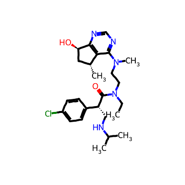 CCN(CCN(C)c1ncnc2c1[C@H](C)C[C@H]2O)C(=O)[C@H](CNC(C)C)c1ccc(Cl)cc1